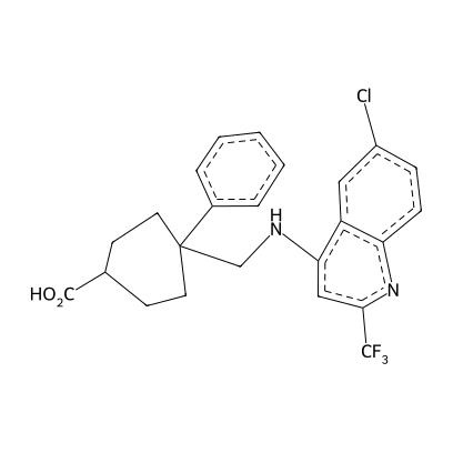 O=C(O)C1CCC(CNc2cc(C(F)(F)F)nc3ccc(Cl)cc23)(c2ccccc2)CC1